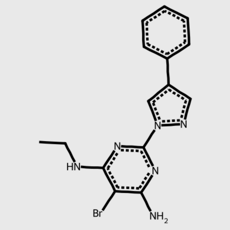 CCNc1nc(-n2cc(-c3ccccc3)cn2)nc(N)c1Br